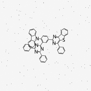 c1ccc(-c2nc(-c3ccccc3)nc(-c3cc(-c4nc(-c5ccccc5)c5sc6ccccc6c5n4)ccc3-n3c4ccccc4c4ccccc43)n2)cc1